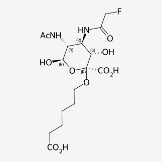 CC(=O)N[C@@H]1[C@@H](NC(=O)CF)[C@H](O)[C@](OCCCCCC(=O)O)(C(=O)O)O[C@H]1O